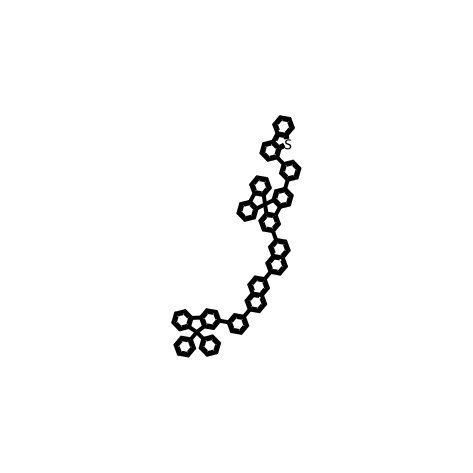 c1ccc(C2(c3ccccc3)c3ccccc3-c3ccc(-c4cccc(-c5ccc6cc(-c7ccc8ccc(-c9ccc%10c(c9)-c9ccc(-c%11cccc(-c%12cccc%13c%12sc%12ccccc%12%13)c%11)cc9C%109c%10ccccc%10-c%10ccccc%109)cc8c7)ccc6c5)c4)cc32)cc1